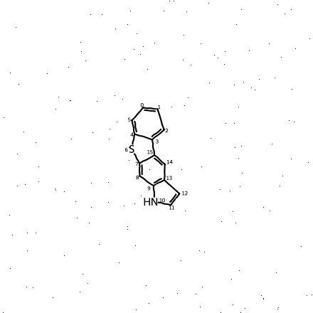 c1ccc2c(c1)sc1cc3[nH]ccc3cc12